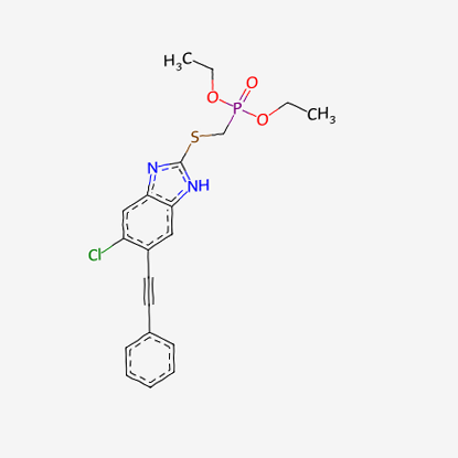 CCOP(=O)(CSc1nc2cc(Cl)c(C#Cc3ccccc3)cc2[nH]1)OCC